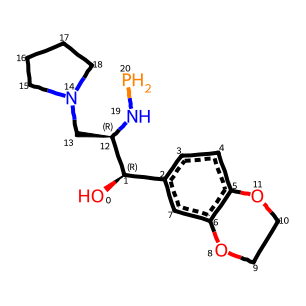 O[C@H](c1ccc2c(c1)OCCO2)[C@@H](CN1CCCC1)NP